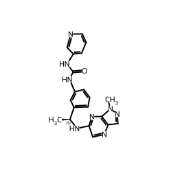 C[C@H](Nc1cnc2cnn(C)c2n1)c1cccc(NC(=O)Nc2cccnc2)c1